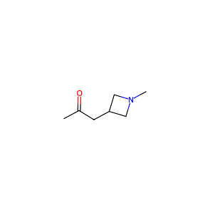 CC(=O)CC1CN(C)C1